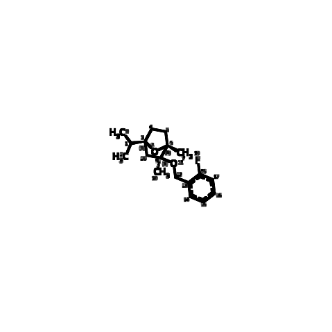 CC(C)[C@@]12CC[C@@](C)(O1)[C@@](C)(OCc1ccccc1F)C2